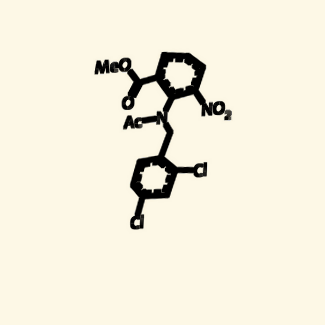 COC(=O)c1cccc([N+](=O)[O-])c1N(Cc1ccc(Cl)cc1Cl)C(C)=O